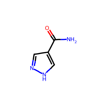 NC(=O)c1cn[nH]c1